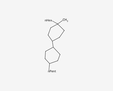 CCCCCCC1(C)CCC(C2CCC(CCCCC)CC2)CC1